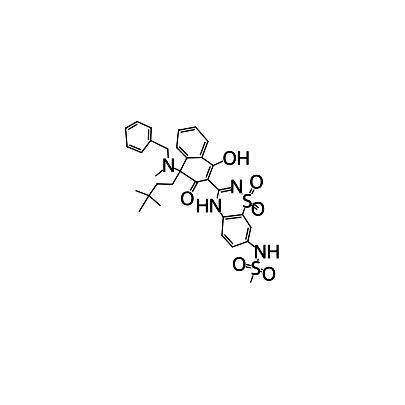 CN(Cc1ccccc1)C1(CCC(C)(C)C)C(=O)C(C2=NS(=O)(=O)c3cc(NS(C)(=O)=O)ccc3N2)=C(O)c2ccccc21